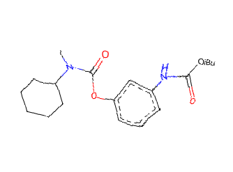 CC(C)COC(=O)Nc1cccc(OC(=O)N(C)C2CCCCC2)c1